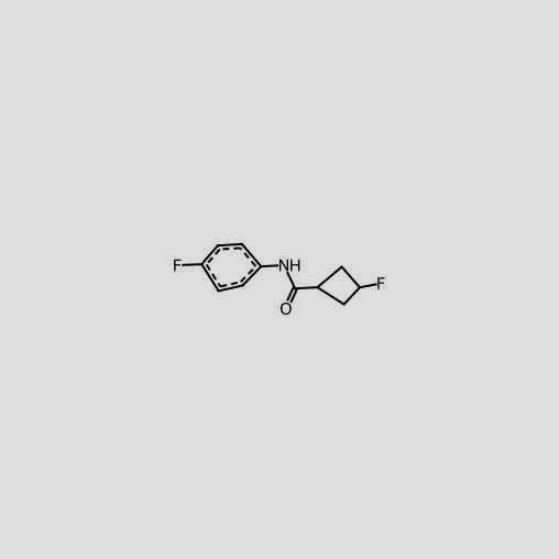 O=C(Nc1ccc(F)cc1)C1CC(F)C1